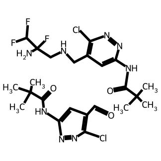 CC(C)(C)C(=O)Nc1cc(C=O)c(Cl)nn1.CC(C)(C)C(=O)Nc1cc(CNCC(N)(F)C(F)F)c(Cl)nn1